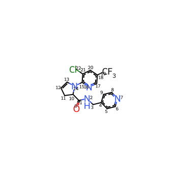 O=C(NCc1ccncc1)C1CC=CN1c1ncc(C(F)(F)F)cc1Cl